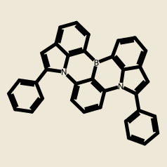 c1ccc(-c2cc3cccc4c3n2-c2cccc3c2B4c2cccc4cc(-c5ccccc5)n-3c24)cc1